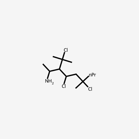 CCCC(C)(Cl)CC(Cl)C(C(C)N)C(C)(C)Cl